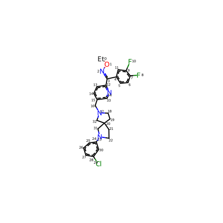 CCON=C(c1ccc(F)c(F)c1)c1ccc(CN2CCC3(CCN(c4cccc(Cl)c4)C3)C2)cn1